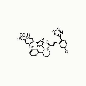 O=C(O)Nc1ccc(-c2c[nH]c(C3C(c4ccccc4)CCCN3C(=O)/C=C/c3cc(Cl)ccc3-n3cnnn3)n2)c(Br)c1